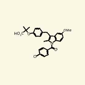 COc1ccc2c(c1)c(Cc1ccc(OC(C)(C)C(=O)O)cc1)c(C)n2C(=O)c1ccc(Cl)cc1